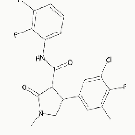 Cc1cc(C2CN(C)C(=O)C2C(=O)Nc2cccc(F)c2F)cc(Cl)c1F